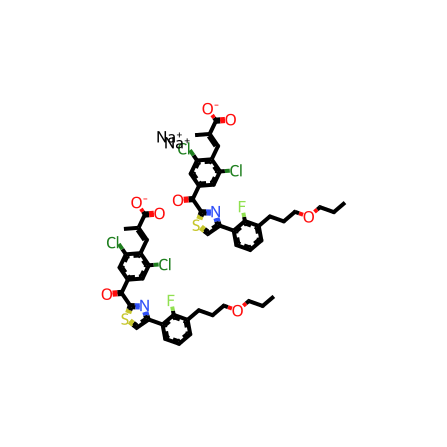 CCCOCCCc1cccc(-c2csc(C(=O)c3cc(Cl)c(C=C(C)C(=O)[O-])c(Cl)c3)n2)c1F.CCCOCCCc1cccc(-c2csc(C(=O)c3cc(Cl)c(C=C(C)C(=O)[O-])c(Cl)c3)n2)c1F.[Na+].[Na+]